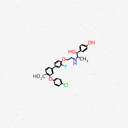 C[C@@H](NCCOc1ccc(-c2ccc(C(=O)O)c(Oc3ccc(Cl)cc3)c2)cc1F)[C@@H](O)c1ccc(O)cc1